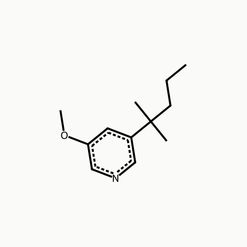 CCCC(C)(C)c1cncc(OC)c1